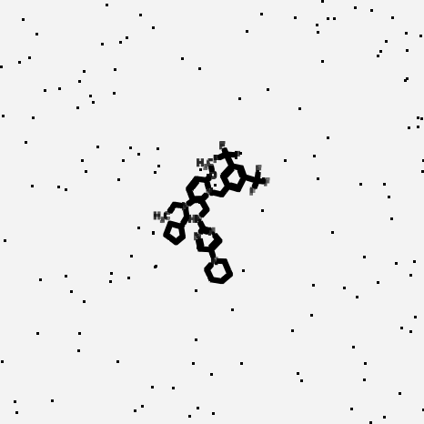 CCN(CC1CCCC1)C1=C(CNc2ncc(N3CCCCC3)cn2)N(Cc2cc(C(F)(F)F)cc(C(F)(F)F)c2)C(OC)C=C1